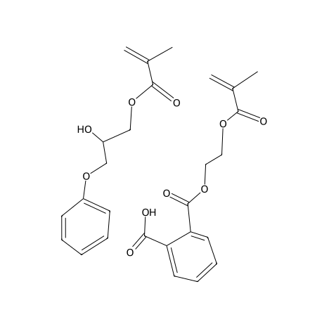 C=C(C)C(=O)OCC(O)COc1ccccc1.C=C(C)C(=O)OCCOC(=O)c1ccccc1C(=O)O